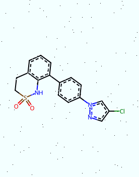 O=S1(=O)CCc2cccc(-c3ccc(-n4cc(Cl)cn4)cc3)c2N1